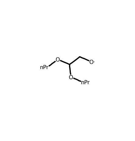 CCCOC(C[O])OCCC